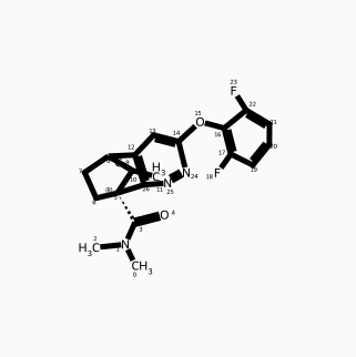 CN(C)C(=O)[C@]12CCC3(CC31C)c1cc(Oc3c(F)cccc3F)nnc12